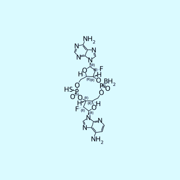 B[P@@]1(=O)OC[C@H]2O[C@@H](n3cnc4c(N)ccnc43)[C@H](F)[C@@H]2O[P@@](=O)(S)OC[C@H]2O[C@@H](n3cnc4c(N)ncnc43)[C@H](F)[C@@H]2O1